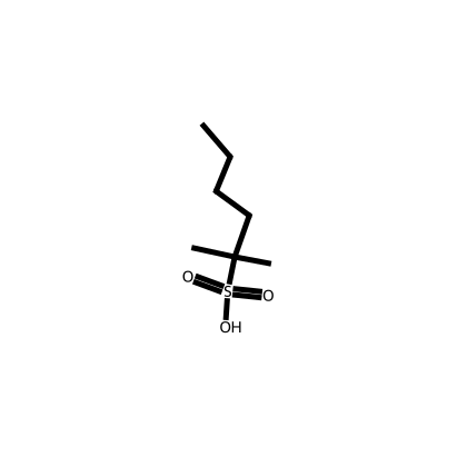 CCCCC(C)(C)S(=O)(=O)O